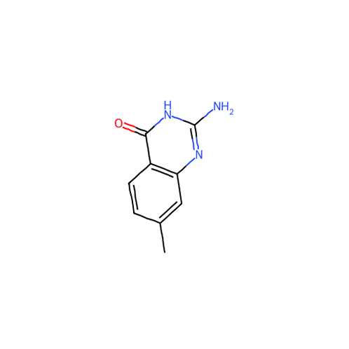 Cc1ccc2c(=O)[nH]c(N)nc2c1